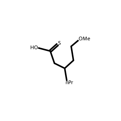 CCCC(CCOC)CC(O)=S